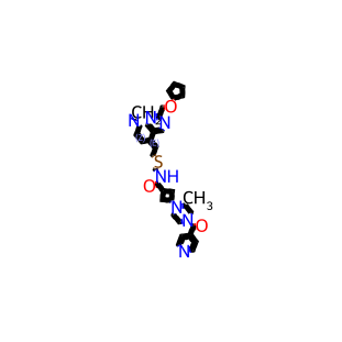 C=NC/C=C\C(=C/CSCNC(=O)C1CC(N2CCN(C(=O)c3ccncc3)CC2C)C1)c1cnc(COC2CCCC2)nc1